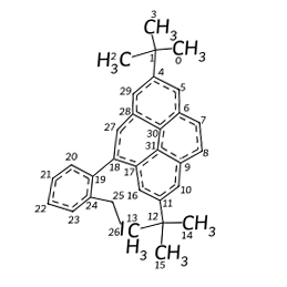 CC(C)(C)c1cc2ccc3cc(C(C)(C)C)cc4c(-c5ccccc5CI)cc(c1)c2c34